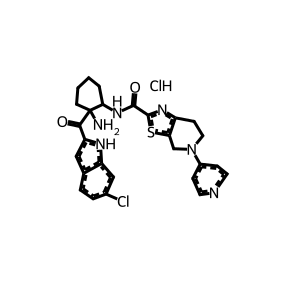 Cl.NC1(C(=O)c2cc3ccc(Cl)cc3[nH]2)CCCCC1NC(=O)c1nc2c(s1)CN(c1ccncc1)CC2